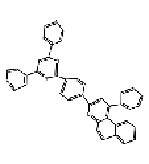 c1ccc(-c2cc(-c3ccc(-c4nc(-c5ccncc5)cc(-c5ccncc5)n4)cc3)nc3ccc4ccccc4c23)cc1